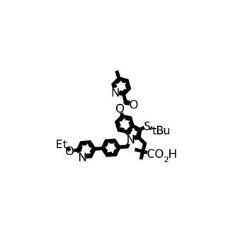 CCOc1ccc(-c2ccc(Cn3c(CC(C)(C)C(=O)O)c(SC(C)(C)C)c4cc(OC(=O)c5ccc(C)cn5)ccc43)cc2)cn1